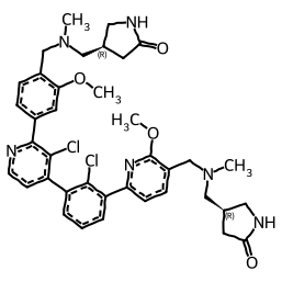 COc1cc(-c2nccc(-c3cccc(-c4ccc(CN(C)C[C@H]5CNC(=O)C5)c(OC)n4)c3Cl)c2Cl)ccc1CN(C)C[C@H]1CNC(=O)C1